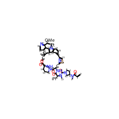 C=CC(=O)N(C)[C@H]1CCN(C(=O)N(C)[C@H](C(=O)N[C@H]2Cc3nc(cs3)-c3ccc4c(c3)c(c(-c3cccnc3[C@H](C)OC)n4CC)CC(C)(C)COC(=O)[C@@]3(C)CCCN(N3)C2=O)C(C)C)C1